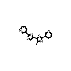 Cc1nc(-c2cccnc2)sc1-c1csc(-c2cccnc2)n1